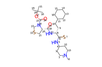 CN1CCC(NC(=S)[C@@H](CCC2CCCCC2)NC(=O)[C@@H]2CSCN2C(=O)OC(C)(C)C)CC1